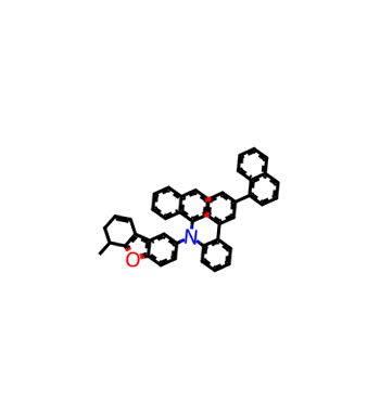 CC1CC=Cc2c1oc1ccc(N(c3ccccc3-c3cccc(-c4cccc5ccccc45)c3)c3cccc4ccccc34)cc21